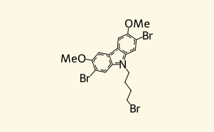 COc1cc2c3cc(OC)c(Br)cc3n(CCCCBr)c2cc1Br